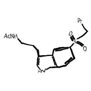 CC(=O)NCCc1c[nH]c2ccc(S(=O)(=O)CC(C)C)cc12